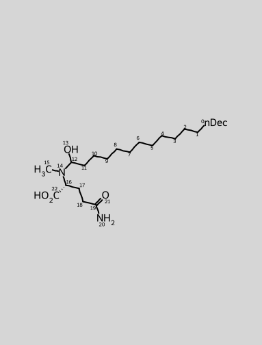 CCCCCCCCCCCCCCCCCCCCCC(O)N(C)[C@H](CCC(N)=O)C(=O)O